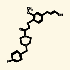 COc1cc(CC=CO)ccc1OCC(=O)N1CCN(Cc2ccc(F)cc2)CC1